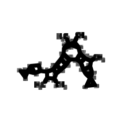 CC1C(C)C2C(C1C1CC3C1C31CC1)C1C2C2C1C1C3C(C)C4C3C(C)C4C3C4C(C)C5C(C4C3C12)C1C5C12CC2